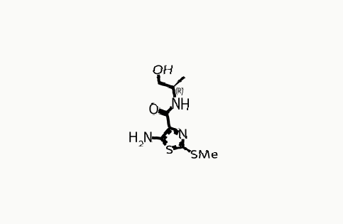 CSc1nc(C(=O)N[C@H](C)CO)c(N)s1